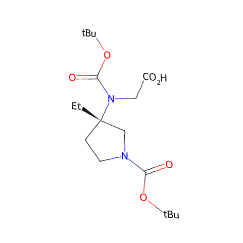 CC[C@]1(N(CC(=O)O)C(=O)OC(C)(C)C)CCN(C(=O)OC(C)(C)C)C1